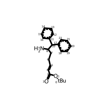 CC(C)(C)OC(=O)C=CCCC(N)C(c1ccccc1)c1ccccc1